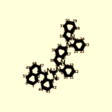 c1ccc2c(-c3nc(-n4c5ccccc5n5c6cc(-n7c8ccccc8n8c9ccccc9cc78)ccc6cc45)nc4ccccc34)cccc2c1